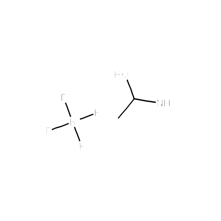 CC([NH3+])O.F[B-](F)(F)F